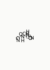 CC(NC(=O)c1cccnc1)C1Cc2ccncc2N1